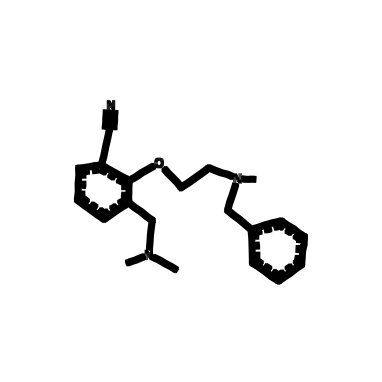 CN(C)Cc1cccc(C#N)c1OCCN(C)Cc1ccccc1